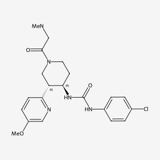 CNCC(=O)N1CC[C@@H](NC(=O)Nc2ccc(Cl)cc2)[C@H](c2ccc(OC)cn2)C1